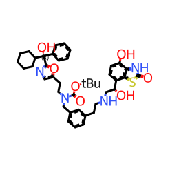 CC(C)(C)OC(=O)N(CCc1cnc([C@](O)(c2ccccc2)C2CCCCC2)o1)Cc1cccc(CCNCC(O)c2ccc(O)c3[nH]c(=O)sc23)c1